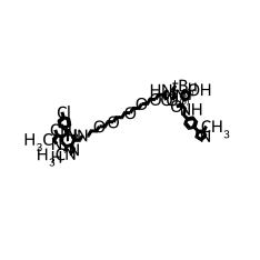 CC1=NN=C2C(CNCCCOCCOCCCOCCOCCOCC(=O)NC(C(=O)N3C[C@H](O)C[C@H]3C(=O)NCc3ccc(C4=C(C)N=CC4)cc3)C(C)(C)C)N=C(c3ccc(Cl)cc3)c3c([nH]c(C)c3C)C12